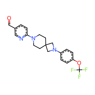 O=Cc1ccc(N2CCC3(CC2)CN(c2ccc(OC(F)(F)F)cc2)C3)nc1